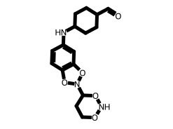 O=CC1CCC(Nc2ccc3c(c2)ON(C2CCONO2)O3)CC1